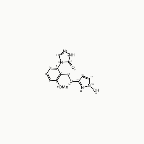 COc1cccc(-n2nn[nH]c2=O)c1COc1ccn(O)n1